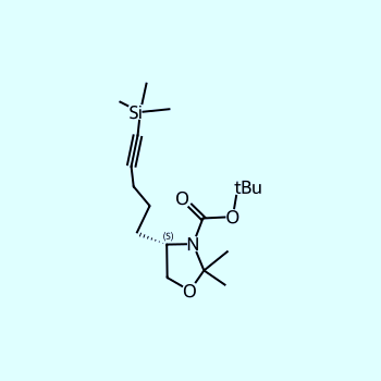 CC(C)(C)OC(=O)N1[C@@H](CCCC#C[Si](C)(C)C)COC1(C)C